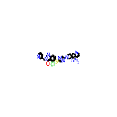 N[C@@H]1c2cccnc2CC12CCN(c1cnc(Sc3ccc4ncn(Cc5cccnc5)c(=O)c4c3Cl)cn1)CC2